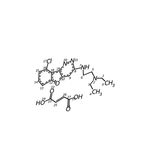 CCN(CC)CCNc1cc2oc3cccc(Cl)c3c2nn1.O=C(O)C=CC(=O)O